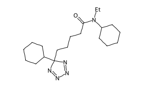 CCN(C(=O)CCCCC1(C2CCCCC2)N=NN=N1)C1CCCCC1